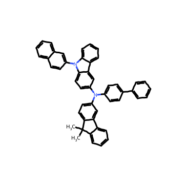 CC1(C)c2ccccc2-c2cc(N(c3ccc(-c4ccccc4)cc3)c3ccc4c(c3)c3ccccc3n4-c3ccc4ccccc4c3)ccc21